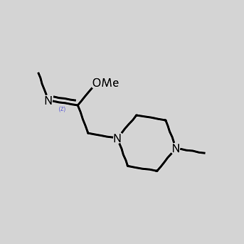 C/N=C(/CN1CCN(C)CC1)OC